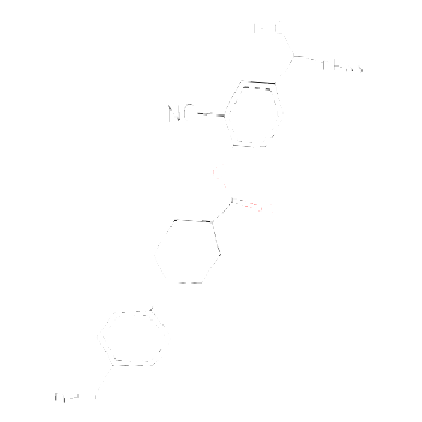 CCCCCCc1ccc(C2CCC(C(=O)Oc3ccc(C(C)CCCCCC)cc3C#N)CC2)cc1